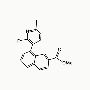 COC(=O)c1ccc2cccc(-c3ccc(C)nc3F)c2c1